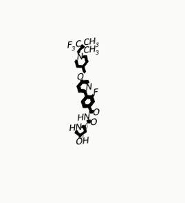 CC(C)(CN1CCC(COc2ccc(-c3ccc(C(=O)NC(=O)[C@@H]4C[C@@H](O)CN4)cc3F)nc2)CC1)C(F)(F)F